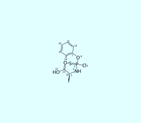 C[C@H](NP(=S)(Cl)Oc1ccccc1)C(=O)O